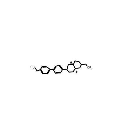 CCc1ccc(-c2ccc([C@@H]3CC[C@@H]4CC(CC)CC[C@@H]4C3)cc2)cc1